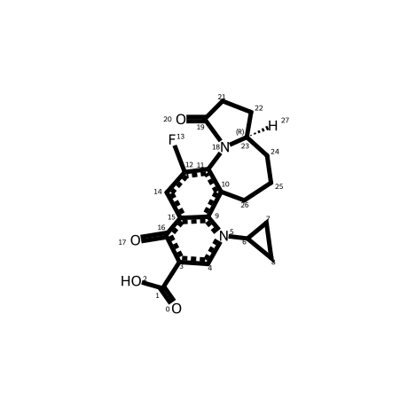 O=C(O)c1cn(C2CC2)c2c3c(c(F)cc2c1=O)N1C(=O)CC[C@H]1CCC3